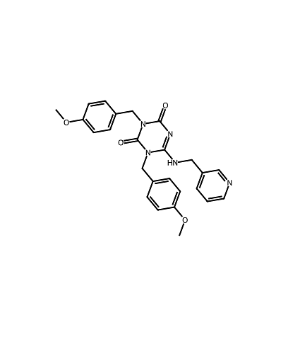 COc1ccc(Cn2c(NCc3cccnc3)nc(=O)n(Cc3ccc(OC)cc3)c2=O)cc1